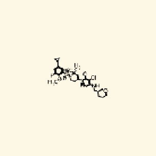 COc1c(F)cc(C2CC2)cc1S(=O)(=O)N1CCC(n2ncc(NCC3CCCOC3)c(Cl)c2=O)CC1(C)C